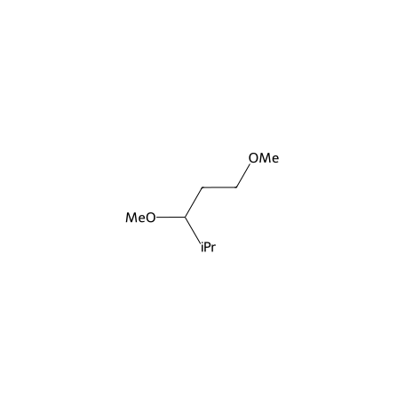 COCCC(OC)C(C)C